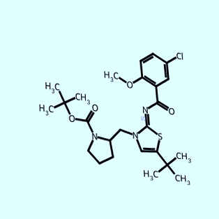 COc1ccc(Cl)cc1C(=O)/N=c1\sc(C(C)(C)C)cn1CC1CCCN1C(=O)OC(C)(C)C